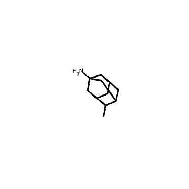 CC1C2CC3CC1CC(N)(C3)C2